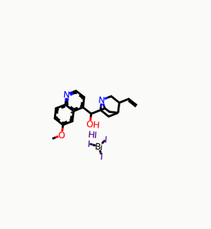 C=CC1CN2CCC1CC2C(O)c1ccnc2ccc(OC)cc12.I.[I][Bi]([I])[I]